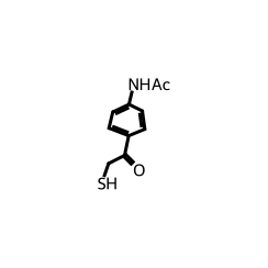 CC(=O)Nc1ccc(C(=O)CS)cc1